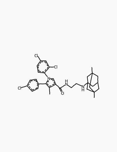 Cc1c(C(=O)NCCNC23CC4CC(C)(CC(C)(C4)C2)C3)cn(-c2ccc(Cl)cc2Cl)c1-c1ccc(Cl)cc1